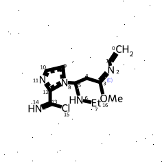 C=C/N=C(\CC(NCC)n1ccnc1C(=N)Cl)OC